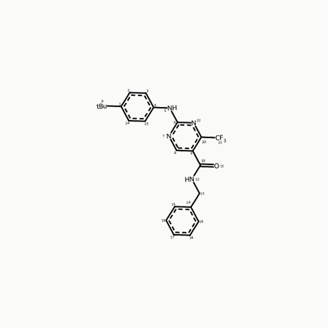 CC(C)(C)c1ccc(Nc2ncc(C(=O)NCc3ccccc3)c(C(F)(F)F)n2)cc1